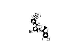 CC[C@@H]1C[C@H](C(=O)NC(c2cc(F)c(Cl)cc2F)C2CC2)N(C(=O)c2cc(S(C)(=O)=O)ccn2)C1